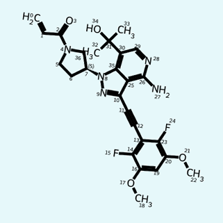 C=CC(=O)N1CC[C@H](n2nc(C#Cc3c(F)c(OC)cc(OC)c3F)c3c(N)ncc(C(C)(C)O)c32)C1